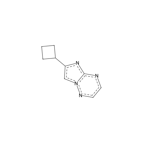 c1cnn2cc(C3CCC3)nc2n1